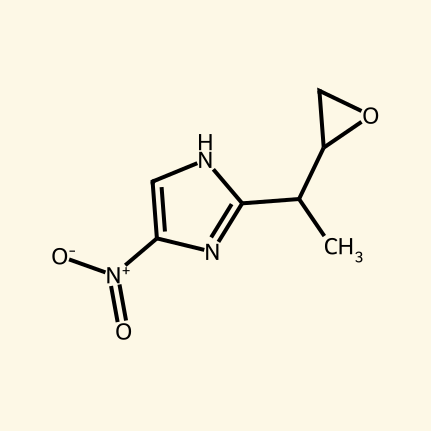 CC(c1nc([N+](=O)[O-])c[nH]1)C1CO1